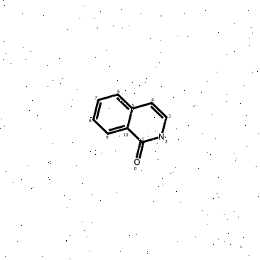 O=C1[N]C=[C]c2ccccc21